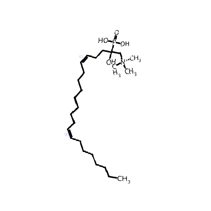 CCCCCCC/C=C\CCCCCCC/C=C\CCC(O)(C[N+](C)(C)C)P(=O)(O)O